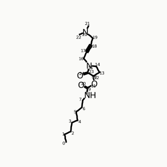 CCCCCCCCNC(=O)O[C@@H]1CCN(CC#CCN(C)C)C1=O